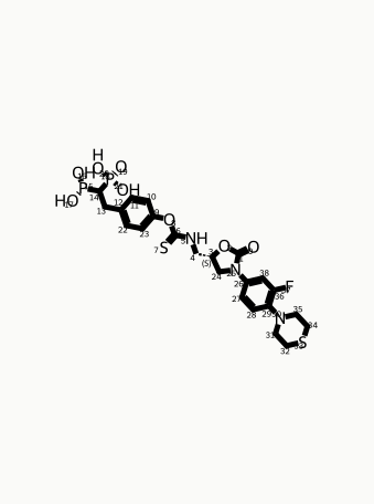 O=C1O[C@@H](CNC(=S)Oc2ccc(CC(P(O)O)P(=O)(O)O)cc2)CN1c1ccc(N2CCSCC2)c(F)c1